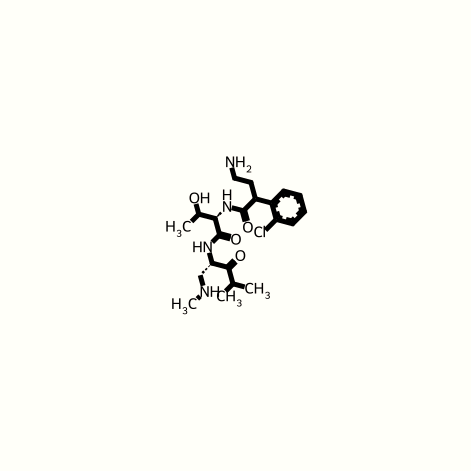 CNC[C@H](NC(=O)[C@@H](NC(=O)C(CCN)c1ccccc1Cl)C(C)O)C(=O)C(C)C